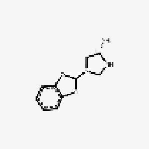 N[C@H]1CN(C2Oc3ccccc3O2)CN1